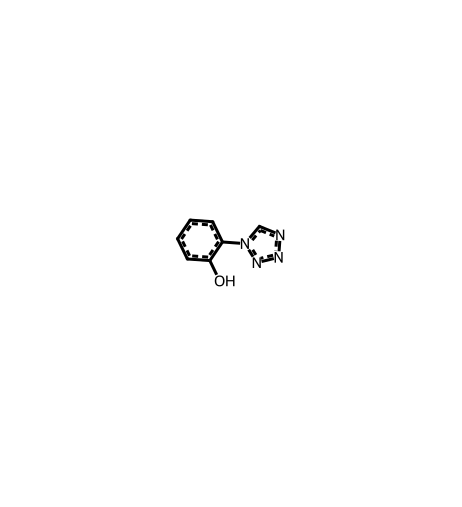 Oc1ccccc1-n1cnnn1